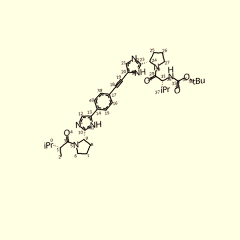 CC(C)[C@@H](C)C(=O)N1CCC[C@H]1c1ncc(-c2ccc(C#Cc3cnc([C@@H]4CCCN4C(=O)[C@H](NC(=O)OC(C)(C)C)C(C)C)[nH]3)cc2)[nH]1